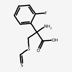 NC(CSC=S)(C(=O)O)c1ccccc1F